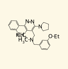 CCOc1cccc(CN(C)Cc2c(N3CCCC3)nnc(-c3ccccc3C)c2C)c1